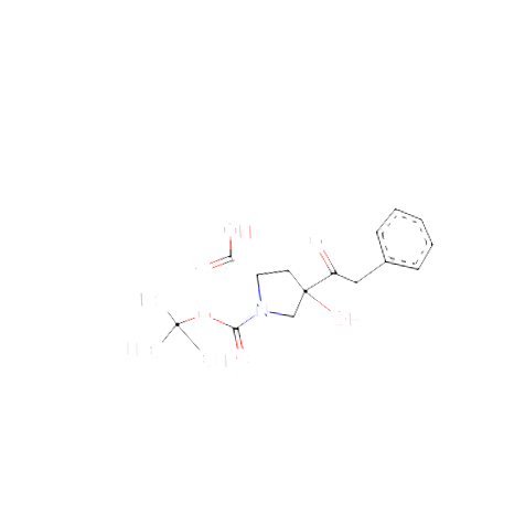 CC(C)(C)OC(=O)N1CC(O)(C(=O)Cc2ccccc2)C[C@H]1C(=O)O